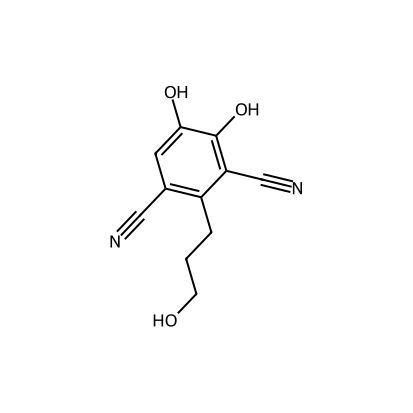 N#Cc1cc(O)c(O)c(C#N)c1CCCO